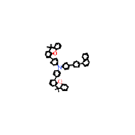 CC1(C)c2ccccc2Oc2c(-c3ccc(N(c4ccc(-c5ccc(-c6cccc7ccccc67)cc5)cc4)c4ccc(-c5cccc6c5Oc5ccccc5C6(C)C)cc4)cc3)cccc21